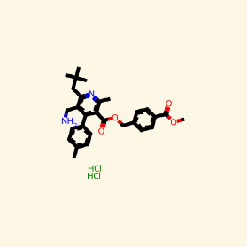 COC(=O)c1ccc(COC(=O)c2c(C)nc(CC(C)(C)C)c(CN)c2-c2ccc(C)cc2)cc1.Cl.Cl